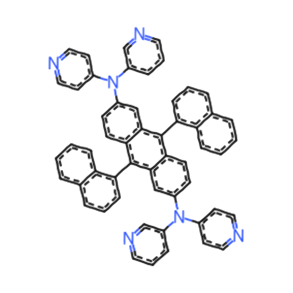 c1cncc(N(c2ccncc2)c2ccc3c(-c4cccc5ccccc45)c4cc(N(c5ccncc5)c5cccnc5)ccc4c(-c4cccc5ccccc45)c3c2)c1